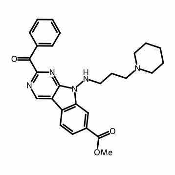 COC(=O)c1ccc2c3cnc(C(=O)c4ccccc4)nc3n(NCCCN3CCCCC3)c2c1